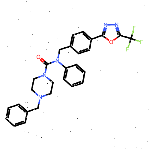 O=C(N1CCN(Cc2ccccc2)CC1)N(Cc1ccc(-c2nnc(C(F)(F)F)o2)cc1)c1ccccc1